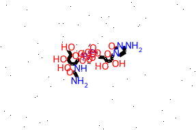 COP(=O)(OCC1OC(n2ccc(N)nc2=O)C(O)C1O)OP(=O)(OC)OC1OC(CO)C(O)C(O)C1NC(=O)CN